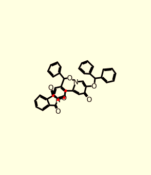 O=C1c2ccccc2C(=O)N1OCc1cc(=O)c(OC(c2ccccc2)c2ccccc2)cn1OC(c1ccccc1)c1ccccc1